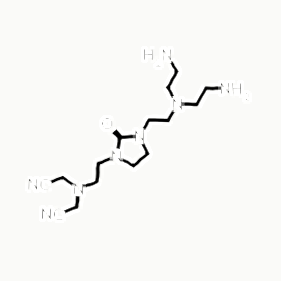 N#CCN(CC#N)CCN1CCN(CCN(CCN)CCN)C1=O